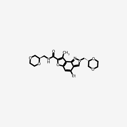 CCc1cc2oc(C(=O)NC[C@@H]3COCCO3)c(C)c2c2nn(C[C@H]3COCCO3)cc12